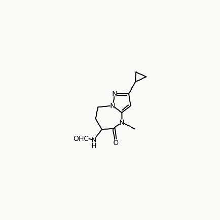 CN1C(=O)C(NC=O)CCn2nc(C3CC3)cc21